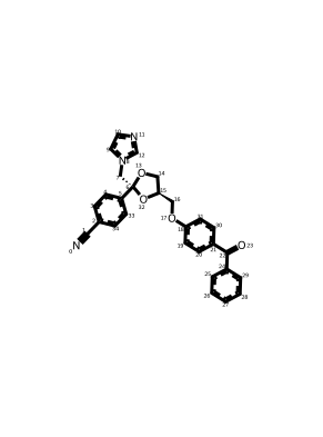 N#Cc1ccc([C@@]2(Cn3ccnc3)OC[C@@H](COc3ccc(C(=O)c4ccccc4)cc3)O2)cc1